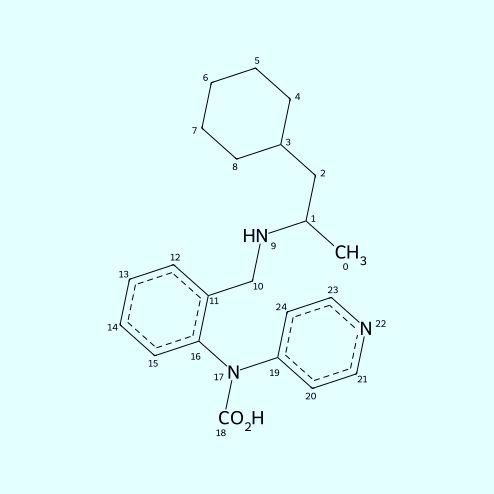 CC(CC1CCCCC1)NCc1ccccc1N(C(=O)O)c1ccncc1